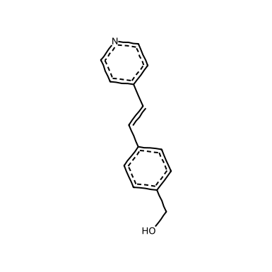 OCc1ccc(/C=C/c2ccncc2)cc1